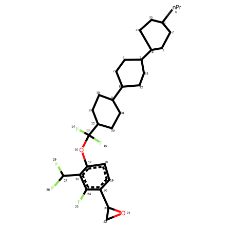 CCCC1CCC(C2CCC(C3CCC(C(F)(F)Oc4ccc(C5CO5)c(F)c4C(F)F)CC3)CC2)CC1